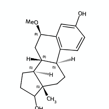 CO[C@@H]1C[C@@H]2[C@H](CC[C@]3(C)C(O)CC[C@@H]23)c2ccc(O)cc21